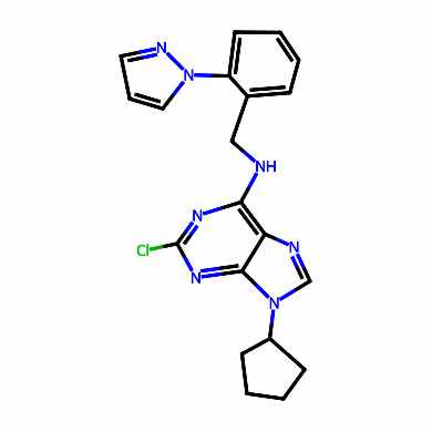 Clc1nc(NCc2ccccc2-n2cccn2)c2ncn(C3CCCC3)c2n1